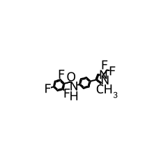 Cc1nn(C(F)F)cc1-c1ccc(NC(=O)c2c(F)cc(F)cc2F)cc1